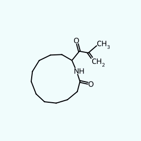 C=C(C)C(=O)C1CCCCCCCCCCC(=O)N1